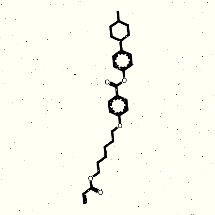 C=CC(=O)OCCCCCCOc1ccc(C(=O)Oc2ccc(C3CCC(C)CC3)cc2)cc1